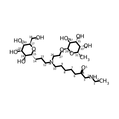 CCNCC(=O)CCCCCN(CCC[C@H]1O[C@H](CO)[C@@H](O)[C@H](O)[C@@H]1O)CCO[C@@H]1O[C@@H](C)[C@@H](O)[C@@H](O)[C@@H]1O